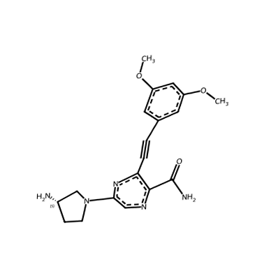 COc1cc(C#Cc2nc(N3CC[C@H](N)C3)cnc2C(N)=O)cc(OC)c1